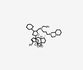 CC(C)CN(CCCN1CCN2CCCCC2C1)CC1OC(C23C[C@@H]4[C@H](C)CC[C@H]4C4(C=O)CC2C=C(C(C)C)[C@@]34C(=O)O)CC1C1CCCCC1